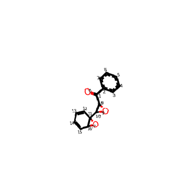 O=C(c1ccccc1)C1OC1C12C=CC=CC1O2